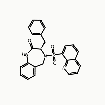 O=C1Nc2ccccc2CN(S(=O)(=O)c2cccc3cccnc23)[C@@H]1Cc1ccccc1